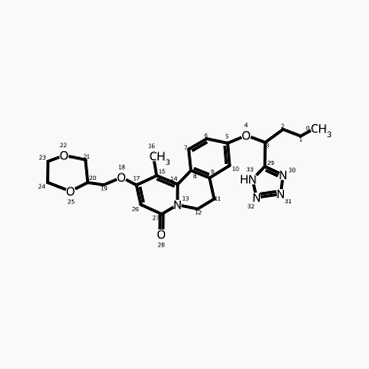 CCCC(Oc1ccc2c(c1)CCn1c-2c(C)c(OCC2COCCO2)cc1=O)c1nnn[nH]1